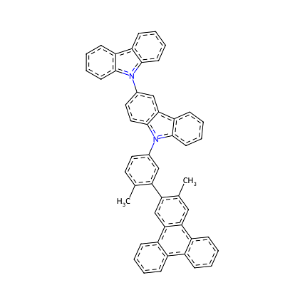 Cc1ccc(-n2c3ccccc3c3cc(-n4c5ccccc5c5ccccc54)ccc32)cc1-c1cc2c3ccccc3c3ccccc3c2cc1C